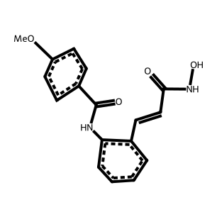 COc1ccc(C(=O)Nc2ccccc2C=CC(=O)NO)cc1